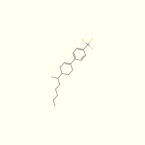 CCCCCC(C)C1CC=C(c2ccc(C(F)(F)F)cc2)CC1